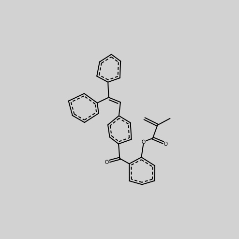 C=C(C)C(=O)Oc1ccccc1C(=O)c1ccc(C=C(c2ccccc2)c2ccccc2)cc1